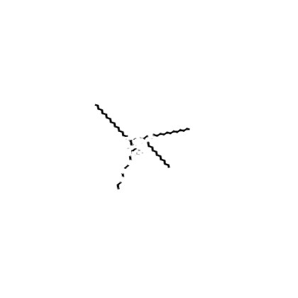 CCCCCCCCCCCCCCCC(=O)N[C@@H](CSC[C@@H](COC(=O)CCCCCCCCCCC)OC(=O)CCCCCCCCCCC)C(=O)N[C@@H](CO)C(=O)NCCOCCOCCOCCC(=O)O